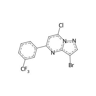 FC(F)(F)c1cccc(-c2cc(Cl)n3ncc(Br)c3n2)c1